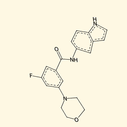 O=C(Nc1ccc2[nH]ccc2c1)c1cc(F)cc(N2CCOCC2)c1